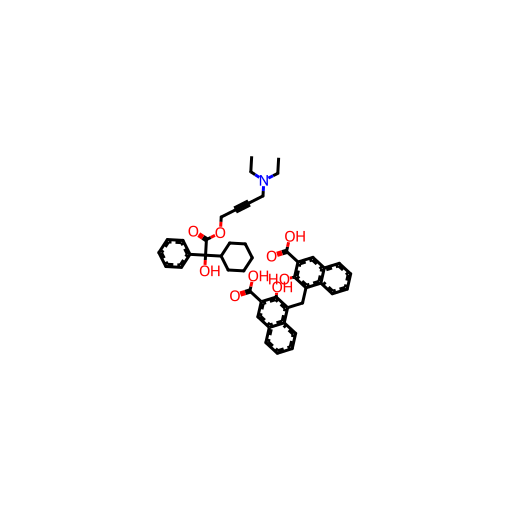 CCN(CC)CC#CCOC(=O)C(O)(c1ccccc1)C1CCCCC1.O=C(O)c1cc2ccccc2c(Cc2c(O)c(C(=O)O)cc3ccccc23)c1O